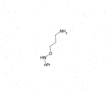 CCCNOCCCN